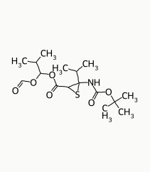 CC(C)C(OC=O)OC(=O)C1SC1(NC(=O)OC(C)(C)C)C(C)C